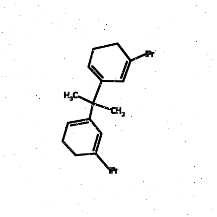 CC(C)C1=CC(C(C)(C)C2=CCCC(C(C)C)=C2)=CCC1